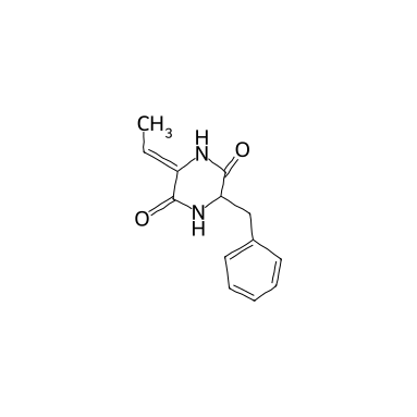 C/C=C1\NC(=O)C(Cc2ccccc2)NC1=O